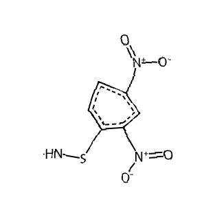 [NH]Sc1ccc([N+](=O)[O-])cc1[N+](=O)[O-]